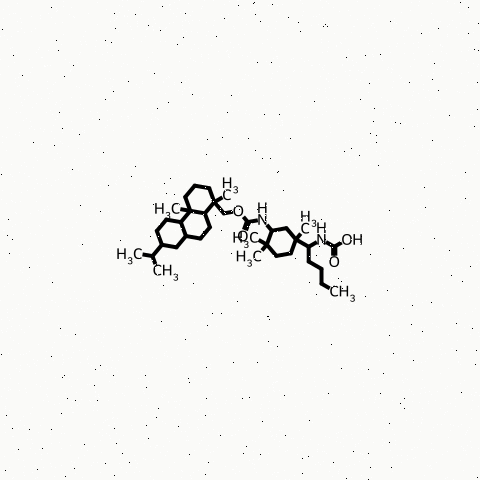 CCCCC(NC(=O)O)C1(C)CCC(C)(C)C(NC(=O)OCC2(C)CCCC3(C)C4CCC(C(C)C)CC4CCC23)C1